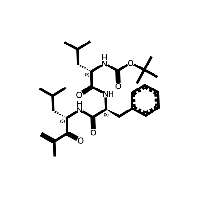 C=C(C)C(=O)[C@H](CC(C)C)NC(=O)[C@H](Cc1ccccc1)NC(=O)[C@H](CC(C)C)NC(=O)OC(C)(C)C